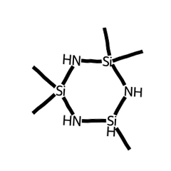 C[SiH]1N[Si](C)(C)N[Si](C)(C)N1